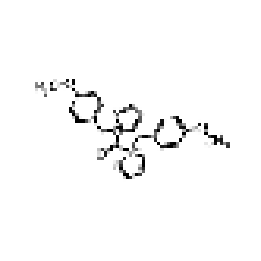 COc1ccc(C[N+]2(C(=O)[N+]3(Cc4ccc(OC)cc4)C=CC=N3)C=CC=N2)cc1